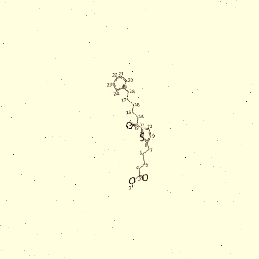 COC(=O)CCCCc1ccc(C(=O)CCCCCc2ccccc2)s1